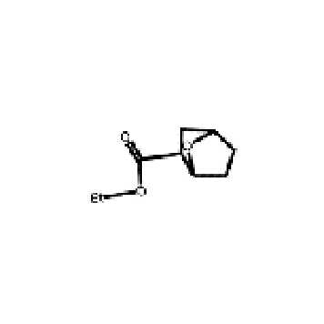 CCOC(=O)C1CC2CCC1O2